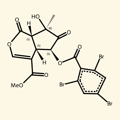 COC(=O)C1=COC(=O)[C@H]2[C@@H]1[C@H](OC(=O)c1c(Br)cc(Br)cc1Br)C(=O)[C@]2(C)O